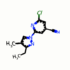 CCc1nn(-c2cc(C#N)cc(Cl)n2)cc1C